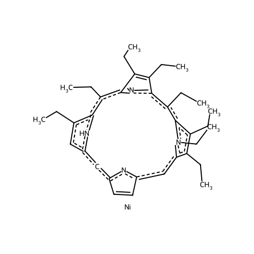 CCC1=C(CC)c2nc1c(CC)c1[nH]c(cc3nc(cc4c(CC)c(CC)c(c2CC)n4CC)C=C3)cc1CC.[Ni]